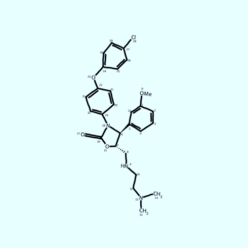 COc1cccc([C@H]2[C@H](CNCCN(C)C)OC(=O)N2c2ccc(Oc3ccc(Cl)cc3)cc2)c1